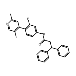 Cc1cc(-c2ccc(NC(=O)CC(c3ccccc3)c3ccccc3)cc2F)c(C)cn1